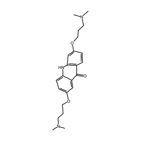 CN(C)CCCOc1ccc2c(=O)c3cc(OCCCN(C)C)ccc3[nH]c2c1